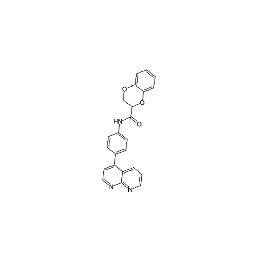 O=C(Nc1ccc(-c2ccnc3ncccc23)cc1)C1COc2ccccc2O1